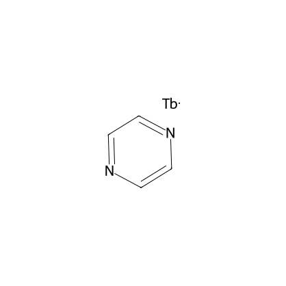 [Tb].c1cnccn1